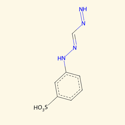 N=NC=NNc1cccc(S(=O)(=O)O)c1